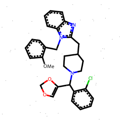 COc1ccccc1Cn1c(CC2CCN(C(C3=COCO3)c3ccccc3Cl)CC2)nc2ccccc21